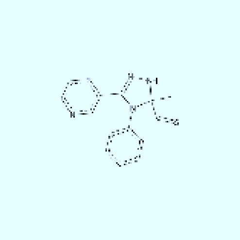 CC1(C=S)NN=C(c2cccnc2)N1c1ccccc1